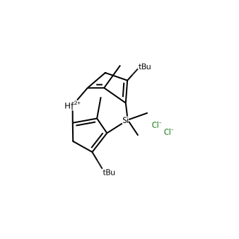 CC1=[C]2CC(C(C)(C)C)=C1[Si](C)(C)C1=C(C(C)(C)C)C[C](=C1C)[Hf+2]2.[Cl-].[Cl-]